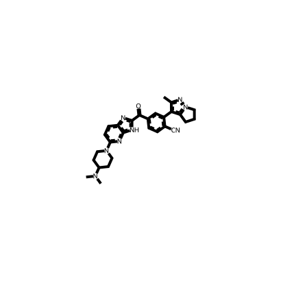 Cc1nn2c(c1-c1cc(C(=O)c3nc4ccc(N5CCC(N(C)C)CC5)nc4[nH]3)ccc1C#N)CCC2